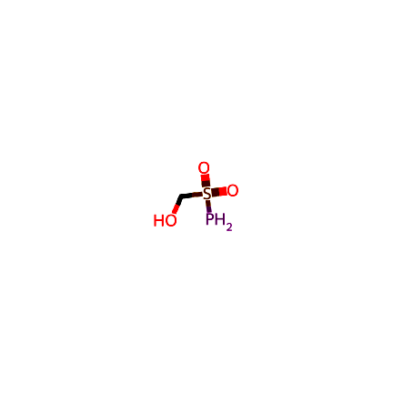 O=S(=O)(P)CO